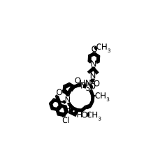 COC1CCN(C2CN(C(=O)N[S@@]3(=O)=NC(=O)c4ccc5c(c4)N(C[C@@H]4CC[C@H]4[C@@H](OC)/C=C/C[C@H](C)C3)C[C@@]3(CCCc4cc(Cl)ccc43)CO5)C2)CC1